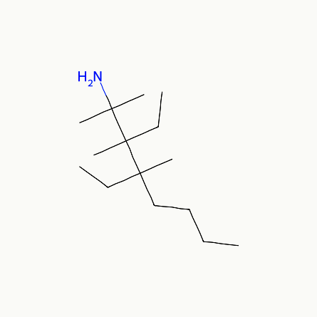 CCCCC(C)(CC)C(C)(CC)C(C)(C)N